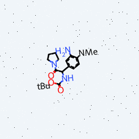 CNc1ccc(C(NC(=O)OC(C)(C)C)C(=O)N2CCCC2)cc1N